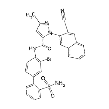 Cc1cc(C(=O)Nc2ccc(-c3ccccc3S(N)(=O)=O)cc2Br)n(-c2cc3ccccc3cc2C#N)n1